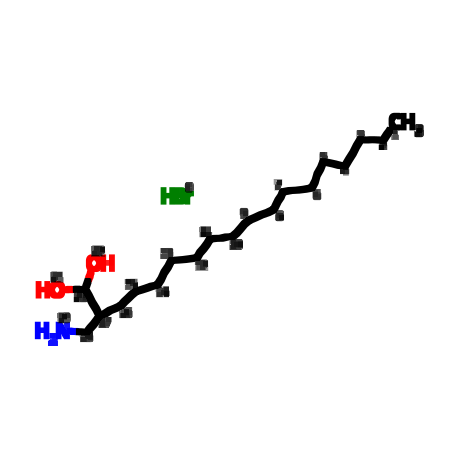 Br.CCCCCCCCCCCCCCCCC(CN)C(O)O